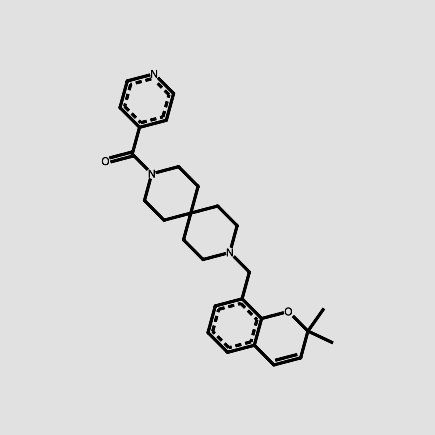 CC1(C)C=Cc2cccc(CN3CCC4(CC3)CCN(C(=O)c3ccncc3)CC4)c2O1